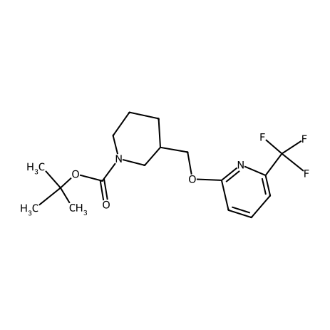 CC(C)(C)OC(=O)N1CCCC(COc2cccc(C(F)(F)F)n2)C1